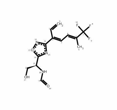 C=C/C(=C\C=C(/C)C(F)(F)F)c1noc([C@H](CO)NC=O)n1